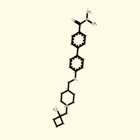 CN(C)C(=O)c1ccc(-c2ccc(OCC3CCN(CC4(C)CCC4)CC3)cc2)cc1